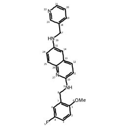 COc1ccc(F)cc1CNc1ccc2cc(NCc3cccnc3)ccc2n1